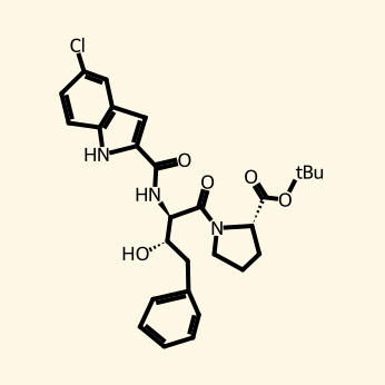 CC(C)(C)OC(=O)[C@@H]1CCCN1C(=O)[C@H](NC(=O)c1cc2cc(Cl)ccc2[nH]1)[C@@H](O)Cc1ccccc1